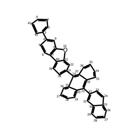 c1ccc(-c2ccc3c(c2)oc2cc(-c4c5ccccc5c(-c5ccc6ccccc6c5)c5ccccc45)ccc23)cc1